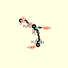 CCN1/C(=C/C=C/C=C/C=C/C2=[N+](CCCSOOO)c3ccc(S(=O)(=O)N(C)CCCC(=O)ON4C(=O)CCC4=O)cc3C2(C)C)C(C)(C)c2cc(SOOO)ccc21